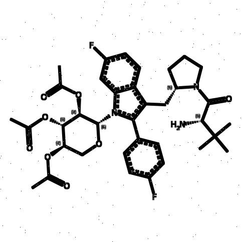 CC(=O)O[C@@H]1[C@@H](OC(C)=O)[C@H](OC(C)=O)CO[C@H]1n1c(-c2ccc(F)cc2)c(C[C@@H]2CCCN2C(=O)[C@@H](N)C(C)(C)C)c2ccc(F)cc21